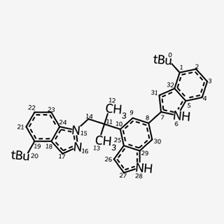 CC(C)(C)c1cccc2[nH]c(-c3cc(C(C)(C)Cn4ncc5c(C(C)(C)C)cccc54)c4cc[nH]c4c3)cc12